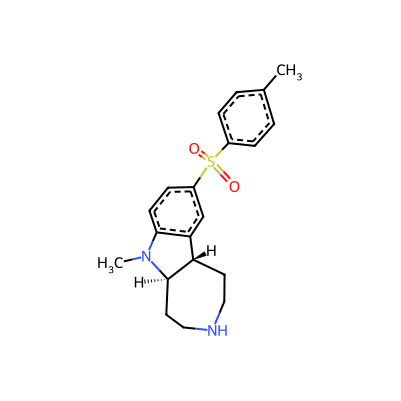 Cc1ccc(S(=O)(=O)c2ccc3c(c2)[C@@H]2CCNCC[C@H]2N3C)cc1